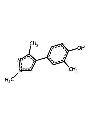 Cc1cc(-c2cn(C)nc2C)ccc1O